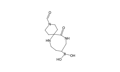 O=CN1CCC2(CC1)NCCC(B(O)O)CNC2=O